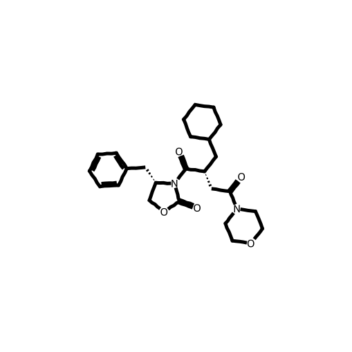 O=C(C[C@@H](CC1CCCCC1)C(=O)N1C(=O)OC[C@@H]1Cc1ccccc1)N1CCOCC1